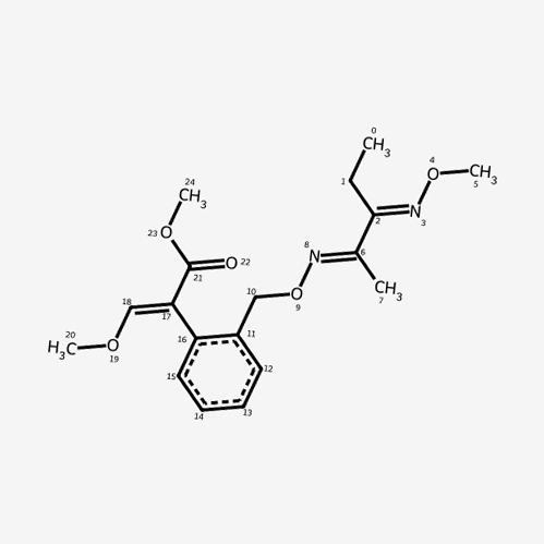 CCC(=N\OC)/C(C)=N/OCc1ccccc1/C(=C\OC)C(=O)OC